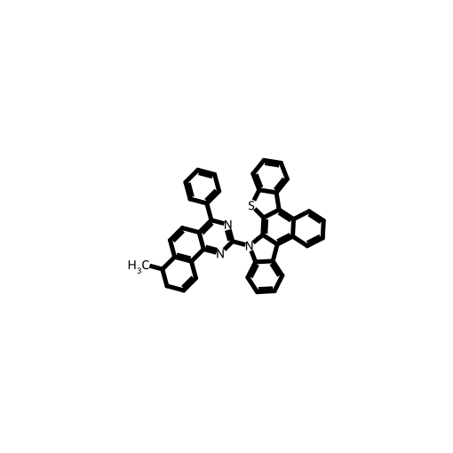 CC1CC=Cc2c1ccc1c(-c3ccccc3)nc(-n3c4ccccc4c4c5ccccc5c5c6ccccc6sc5c43)nc21